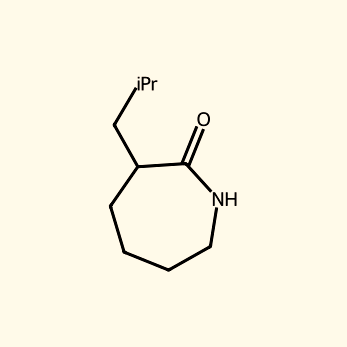 CC(C)CC1CCCCNC1=O